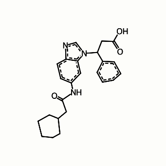 O=C(O)CC(c1ccccc1)n1cnc2ccc(NC(=O)CC3CCCCC3)cc21